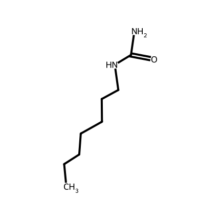 CCCCCCCNC(N)=O